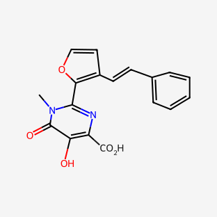 Cn1c(-c2occc2C=Cc2ccccc2)nc(C(=O)O)c(O)c1=O